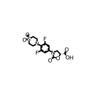 O=C(O)[C@H]1CN(c2cc(F)c(N3CCS(=O)(=O)CC3)c(F)c2)C(=O)O1